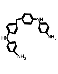 Nc1ccc(Nc2ccc(Cc3ccc(Nc4ccc(N)cc4)cc3)cc2)cc1